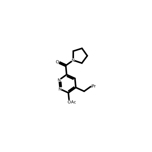 CC(=O)Oc1nnc(C(=O)N2CCCC2)cc1CC(C)C